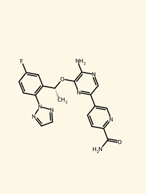 C[C@@H](Oc1nc(-c2ccc(C(N)=O)nc2)cnc1N)c1cc(F)ccc1-n1nccn1